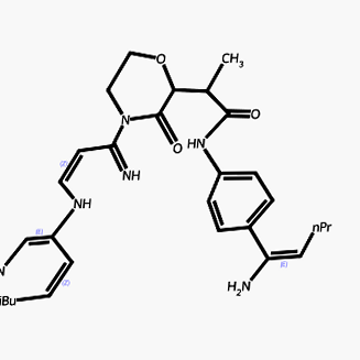 CCC/C=C(/N)c1ccc(NC(=O)C(C)C2OCCN(C(=N)/C=C\NC(/C=C\C(C)CC)=C/N)C2=O)cc1